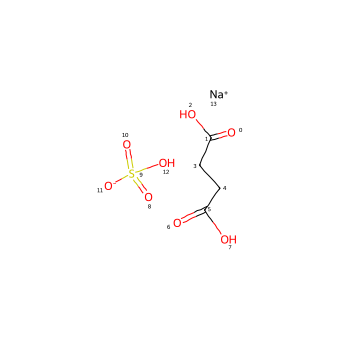 O=C(O)CCC(=O)O.O=S(=O)([O-])O.[Na+]